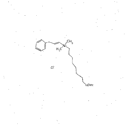 CCCCCCCCCCCCCCCCCC[N+](C)(C)C=CCc1ccccc1.[Cl-]